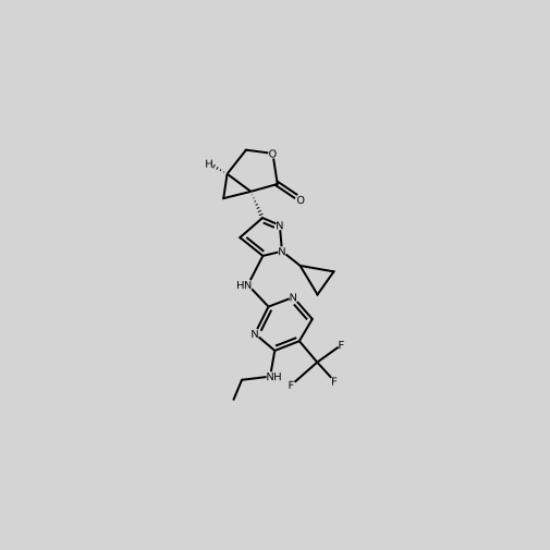 CCNc1nc(Nc2cc([C@]34C[C@H]3COC4=O)nn2C2CC2)ncc1C(F)(F)F